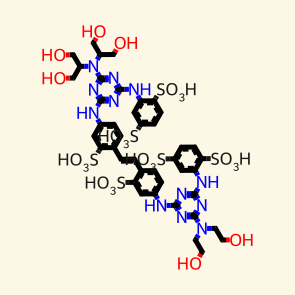 O=S(=O)(O)c1ccc(S(=O)(=O)O)c(Nc2nc(Nc3ccc(C=Cc4ccc(Nc5nc(Nc6cc(S(=O)(=O)O)ccc6S(=O)(=O)O)nc(N(C(CO)CO)C(CO)CO)n5)cc4S(=O)(=O)O)c(S(=O)(=O)O)c3)nc(N(CCO)CCO)n2)c1